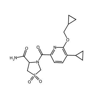 NC(=O)C1CS(=O)(=O)CN1C(=O)c1ccc(C2CC2)c(OCC2CC2)n1